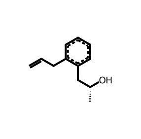 C=CCc1ccccc1C[C@@H](C)O